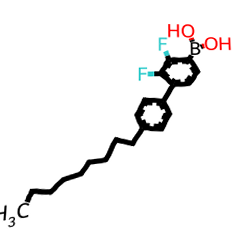 CCCCCCCCCc1ccc(-c2ccc(B(O)O)c(F)c2F)cc1